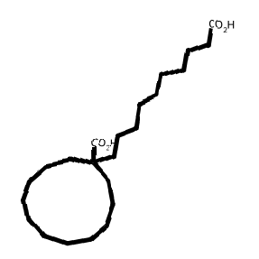 O=C(O)CCCCCCCCCC1(C(=O)O)CCCCCCCCCCC1